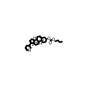 CCCCOC(=O)O[C@H]1CC[C@@]2(C)C(=CC[C@@H]3[C@@H]2CC[C@]2(C)C(c4cccnc4)=CC[C@@H]32)C1